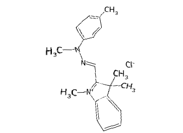 Cc1ccc(N(C)N=CC2=[N+](C)c3ccccc3C2(C)C)cc1.[Cl-]